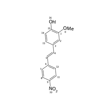 COc1cc(C=Cc2ccc([N+](=O)[O-])cc2)ccc1O